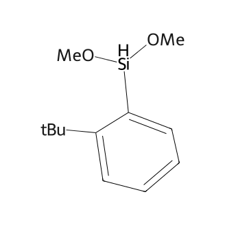 CO[SiH](OC)c1ccccc1C(C)(C)C